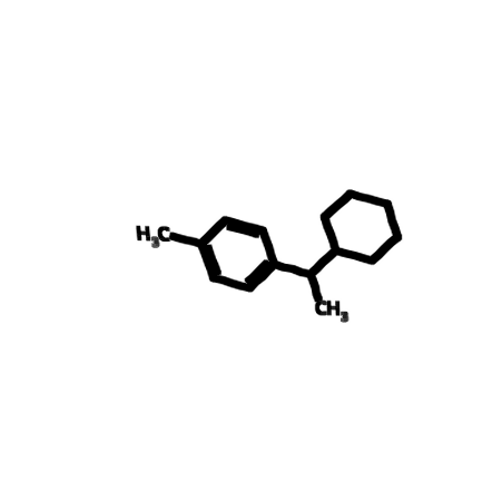 Cc1ccc(C(C)C2CCCCC2)cc1